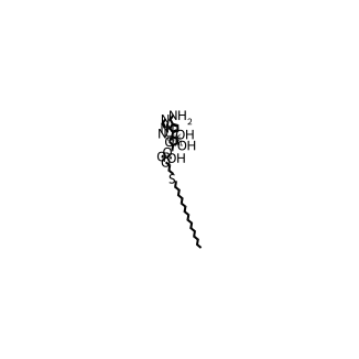 CCCCCCCCCCCCCCCCCSCCCOP(=O)(O)OCC1O[C@@](C#N)(c2ccc3c(N)ncnn23)[C@H](O)[C@@H]1O